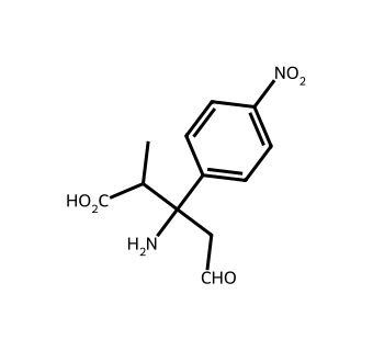 CC(C(=O)O)C(N)(CC=O)c1ccc([N+](=O)[O-])cc1